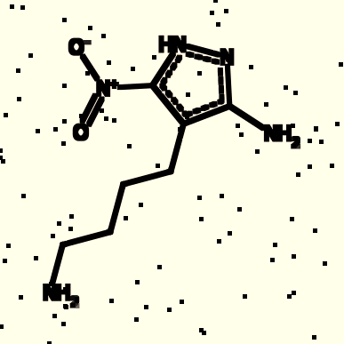 NCCCCc1c(N)n[nH]c1[N+](=O)[O-]